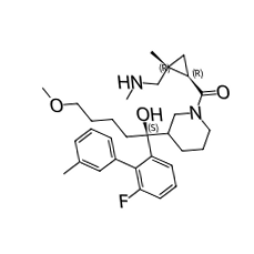 CNC[C@]1(C)C[C@H]1C(=O)N1CCCC([C@@](O)(CCCCOC)c2cccc(F)c2-c2cccc(C)c2)C1